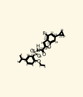 CCOc1ccc(C(C)C)cc1S(=O)(=O)NC(=O)c1cc2c(F)cc(C3CC3)cc2o1